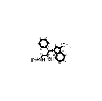 Cc1cn([C@H](c2ccccc2)[C@@H](O)CNC(C)C)c2ccccc12